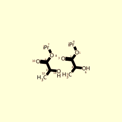 CC(C)OC(=O)C(C)O.CC(C)OC(=O)C(C)O